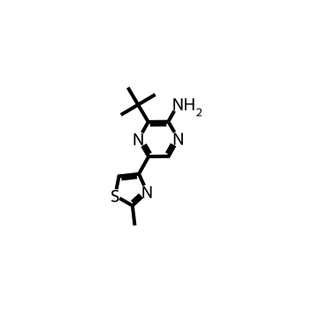 Cc1nc(-c2cnc(N)c(C(C)(C)C)n2)cs1